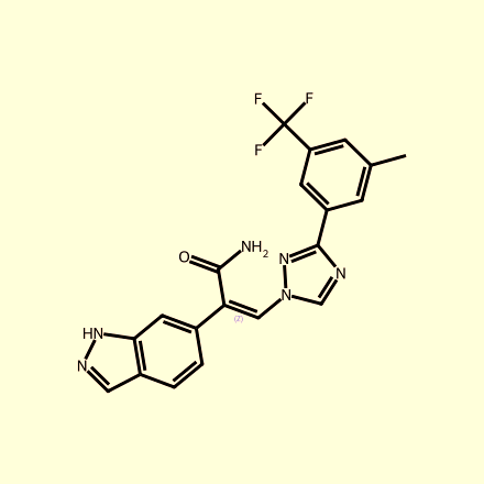 Cc1cc(-c2ncn(/C=C(\C(N)=O)c3ccc4cn[nH]c4c3)n2)cc(C(F)(F)F)c1